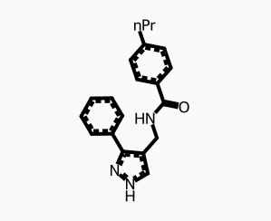 CCCc1ccc(C(=O)NCc2c[nH]nc2-c2ccccc2)cc1